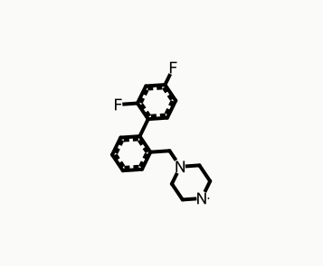 Fc1ccc(-c2ccccc2CN2CC[N]CC2)c(F)c1